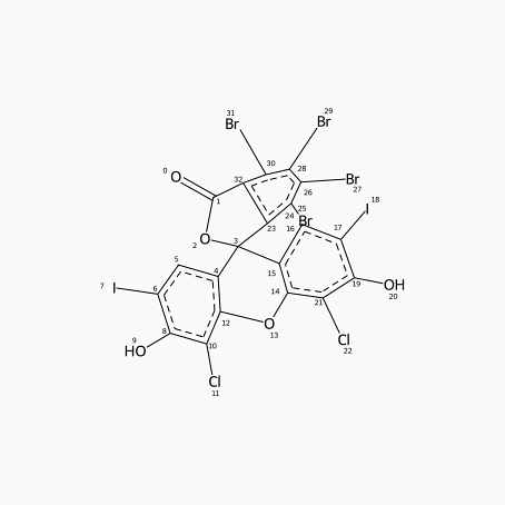 O=C1OC2(c3cc(I)c(O)c(Cl)c3Oc3c2cc(I)c(O)c3Cl)c2c(Br)c(Br)c(Br)c(Br)c21